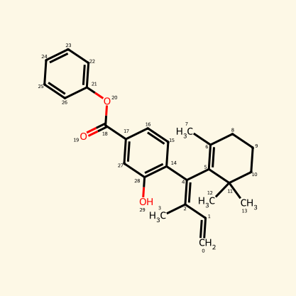 C=CC(C)=C(C1=C(C)CCCC1(C)C)c1ccc(C(=O)Oc2ccccc2)cc1O